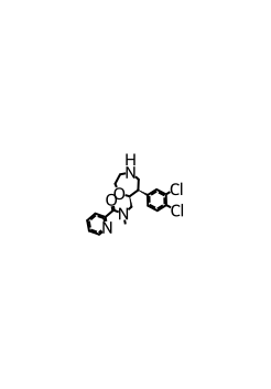 CN(C[C@H]1OCCNC[C@H]1c1ccc(Cl)c(Cl)c1)C(=O)c1ccccn1